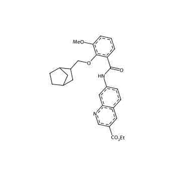 CCOC(=O)c1cnc2cc(NC(=O)c3cccc(OC)c3OCC3CC4CCC3C4)ccc2c1